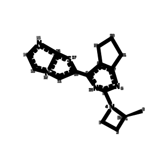 C[C@H]1CCN1c1nc2c(c(-c3cn4ccnc4s3)n1)CCC2